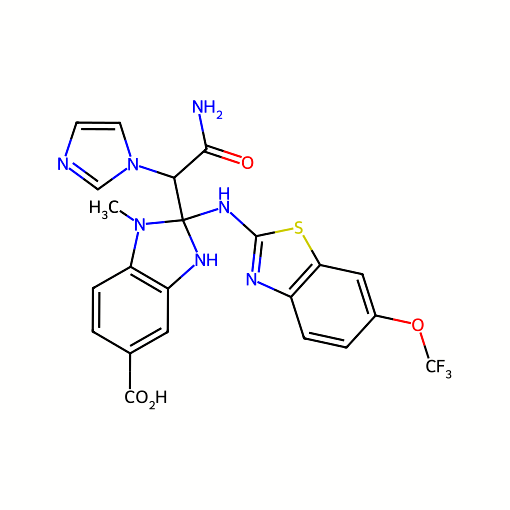 CN1c2ccc(C(=O)O)cc2NC1(Nc1nc2ccc(OC(F)(F)F)cc2s1)C(C(N)=O)n1ccnc1